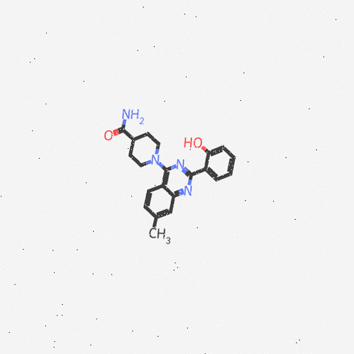 Cc1ccc2c(N3CCC(C(N)=O)CC3)nc(-c3ccccc3O)nc2c1